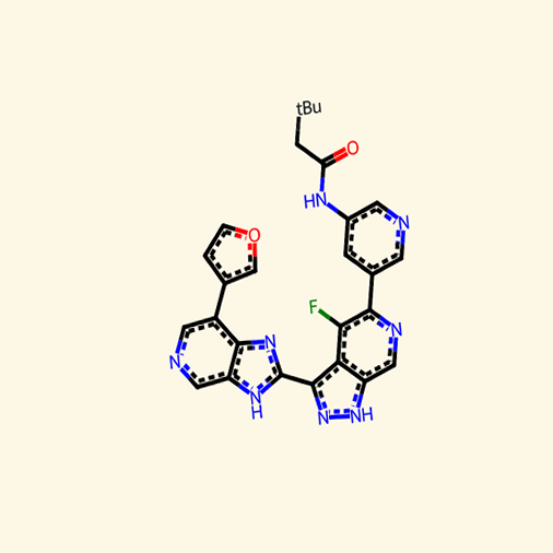 CC(C)(C)CC(=O)Nc1cncc(-c2ncc3[nH]nc(-c4nc5c(-c6ccoc6)cncc5[nH]4)c3c2F)c1